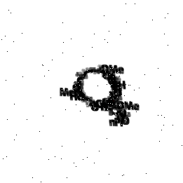 CCCOP(C)(=O)O[C@@H]1CCC(CC2[C@H]3CCCN4C(=O)C(=O)C5(O)O[C@@H](CCC5C)C[C@H](OC)/C(C)=C/C=C/C=C/[C@@H](C)CC(C)C(=O)[C@H](OC)C(O)/C(C)=C/C(C)C(=O)C[C@@H]2OC(=O)C34)CC1OC